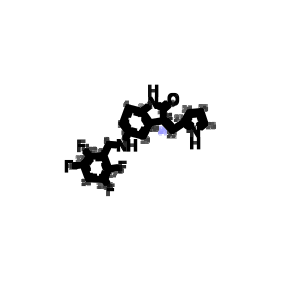 O=C1Nc2ccc(NCc3c(F)c(F)cc(F)c3F)cc2/C1=C/c1ccc[nH]1